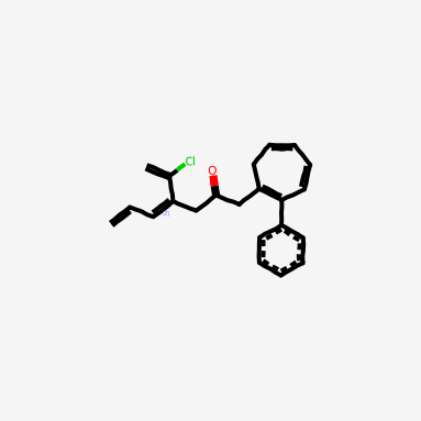 C=C/C=C(/CC(=O)CC1=C(c2ccccc2)C=CC=CC1)C(=C)Cl